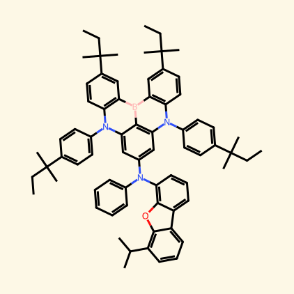 CCC(C)(C)c1ccc(N2c3ccc(C(C)(C)CC)cc3B3c4cc(C(C)(C)CC)ccc4N(c4ccc(C(C)(C)CC)cc4)c4cc(N(c5ccccc5)c5cccc6c5oc5c(C(C)C)cccc56)cc2c43)cc1